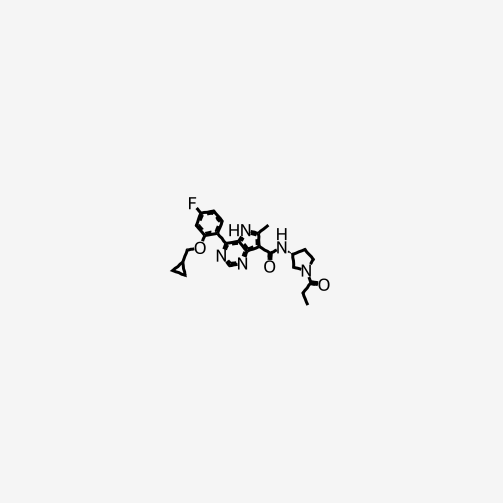 CCC(=O)N1CC[C@@H](NC(=O)c2c(C)[nH]c3c(-c4ccc(F)cc4OCC4CC4)ncnc23)C1